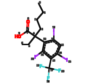 CCCCC(CC)(C(=O)O)c1c(I)cc(I)c(C(F)(F)F)c1I